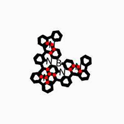 c1ccc(-c2cccc(-c3ccccc3)c2N2c3cc(-n4c5ccccc5c5ccccc54)ccc3B3c4ccc(-n5c6ccccc6c6ccccc65)cc4N(c4c(-c5ccccc5)cccc4-c4ccccc4)c4cc(-n5c6ccccc6c6ccccc65)cc2c43)cc1